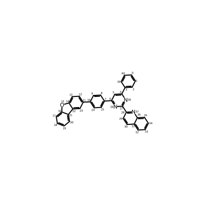 c1ccc(-c2cc(-c3ccc(-c4ccc5oc6ccccc6c5c4)cc3)nc(-c3ccc4ccccc4n3)n2)cc1